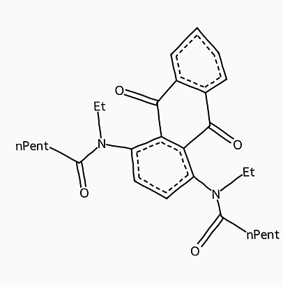 CCCCCC(=O)N(CC)c1ccc(N(CC)C(=O)CCCCC)c2c1C(=O)c1ccccc1C2=O